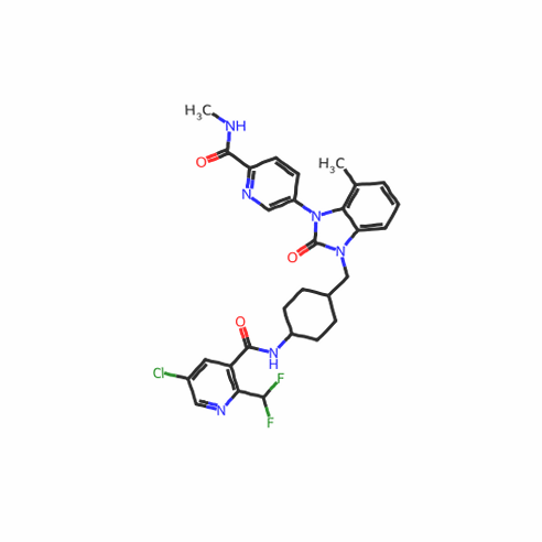 CNC(=O)c1ccc(-n2c(=O)n(CC3CCC(NC(=O)c4cc(Cl)cnc4C(F)F)CC3)c3cccc(C)c32)cn1